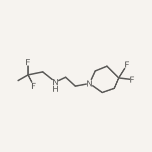 CC(F)(F)CNCCN1CCC(F)(F)CC1